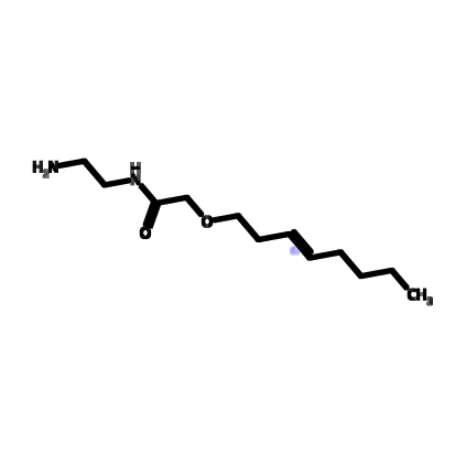 CCCC/C=C/CCOCC(=O)NCCN